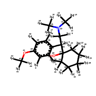 [2H]c1c([2H])c([C@@]([2H])(C([2H])([2H])N(C([2H])([2H])[2H])C([2H])([2H])[2H])C2(O)C([2H])([2H])C([2H])([2H])C([2H])([2H])C([2H])([2H])C2([2H])[2H])c([2H])c([2H])c1OC([2H])([2H])[2H]